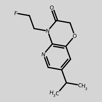 CC(C)c1cnc2c(c1)OCC(=O)N2CCF